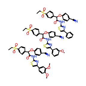 CCS(=O)(=O)c1ccc(C(Oc2ccc(C#N)cc2)C(=O)Nc2nc(-c3ccc(OC)c(OC)c3)cs2)cc1.CCS(=O)(=O)c1ccc(C(Oc2ccc(C#N)cc2)C(=O)Nc2nc(-c3cccc(OC)c3)cs2)cc1.CCS(=O)(=O)c1ccc(C(Oc2ccc(C#N)cc2)C(=O)Nc2nc(-c3ccccc3)cs2)cc1